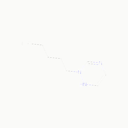 CCCCCN1C=NC=CN1